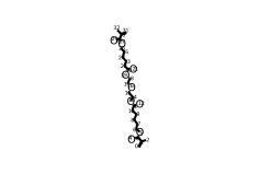 C=C(C)C(=O)OCCCCCC(=O)OCCOCCOC(=O)CCCCCOC(=O)C(=C)C